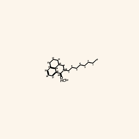 CCCCCCCCN1CC2CCCc3cccc(c32)C1=O.Cl